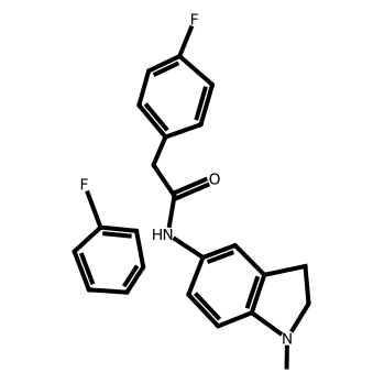 CN1CCc2cc(NC(=O)Cc3ccc(F)cc3)ccc21.Fc1ccccc1